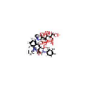 CCN(C(=O)c1c(O)c2c(N(C)C[C@H](O)[C@@H](O)[C@@H](O)[C@H](O)CO)cccc2n(C)c1=O)c1ccccc1